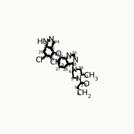 C=CC(=O)N1CCN(c2ncnc3c(Oc4c(C)c(Cl)cc5[nH]ncc45)cccc23)CC1C